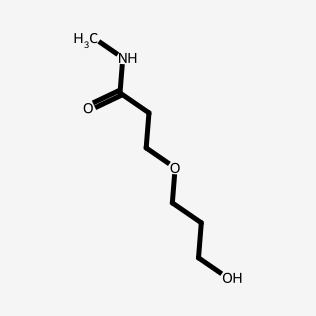 CNC(=O)CCOCCCO